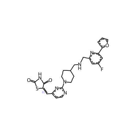 O=C1NC(=O)/C(=C\c2ccnc(N3CCC(CNCc4cc(F)cc(-c5ccco5)n4)CC3)n2)S1